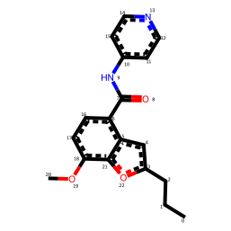 CCCc1cc2c(C(=O)Nc3ccncc3)ccc(OC)c2o1